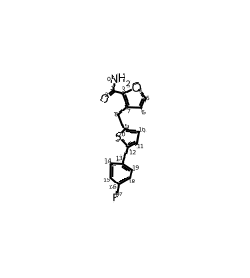 NC(=O)c1occc1Cc1ccc(-c2ccc(F)cc2)s1